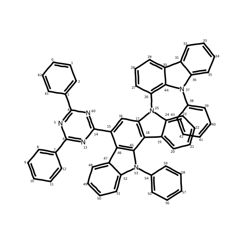 c1ccc(-c2nc(-c3ccccc3)nc(-c3cc4c(c5ccccc5n4-c4cccc5c6ccccc6n(-c6ccccc6)c45)c4c3c3ccccc3n4-c3ccccc3)n2)cc1